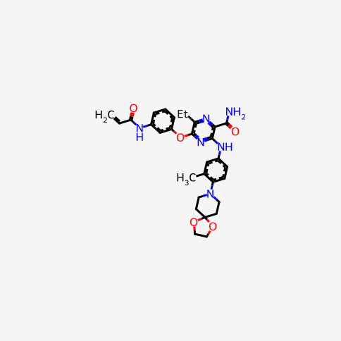 C=CC(=O)Nc1cccc(Oc2nc(Nc3ccc(N4CCC5(CC4)OCCO5)c(C)c3)c(C(N)=O)nc2CC)c1